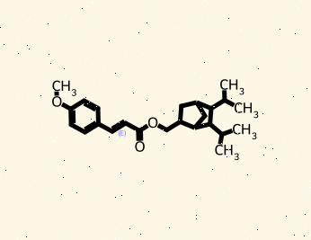 COc1ccc(/C=C/C(=O)OCC2CC3CC2C(C(C)C)C3C(C)C)cc1